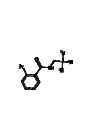 [2H]C([2H])([2H])CNC(=O)c1ccccc1C(C)C